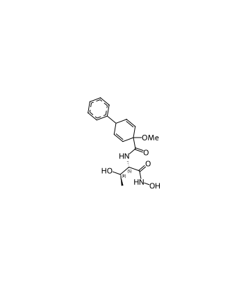 COC1(C(=O)N[C@H](C(=O)NO)[C@@H](C)O)C=CC(c2ccccc2)C=C1